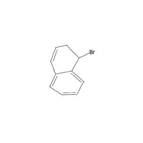 BrC1CC=Cc2ccccc21